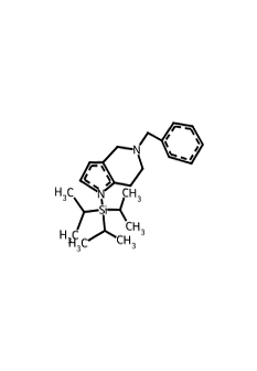 CC(C)[Si](C(C)C)(C(C)C)n1ccc2c1CCN(Cc1ccccc1)C2